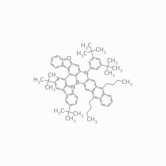 CCCCc1c2ccccc2c(CCCC)c2cc3c(cc12)B1c2c(cc4oc5ccccc5c4c2-c2cc(C(C)(C)C)cc4c5cc(C(C)(C)C)ccc5n1c24)N3c1cc(C(C)(C)C)cc(C(C)(C)C)c1